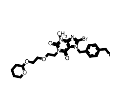 Cn1c(=O)n(CCOCCOC2CCCCO2)c(=O)c2c1nc(Br)n2Cc1ccc(CI)cc1